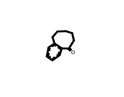 O=C1CCCCCc2ccccc21